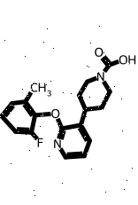 Cc1cccc(F)c1Oc1ncccc1C1CCN(C(=O)O)CC1